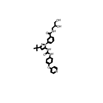 CC(C)(C)c1cc(NC(=O)Nc2ccc(Oc3ccncc3)cc2)n(-c2cccc(C(=O)NCC(O)CO)c2)n1